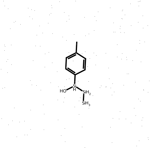 Cc1ccc([SiH](O)[SiH2][SiH3])cc1